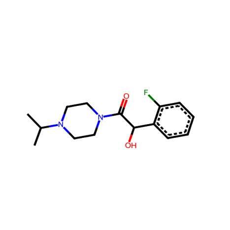 CC(C)N1CCN(C(=O)C(O)c2ccccc2F)CC1